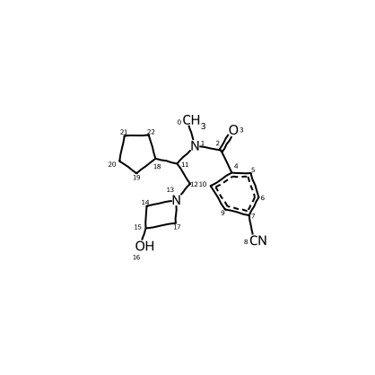 CN(C(=O)c1ccc(C#N)cc1)C(CN1CC(O)C1)C1CCCC1